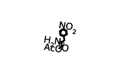 CC(=O)OC(=O)[C@@H](N)Cc1ccc([N+](=O)[O-])cc1